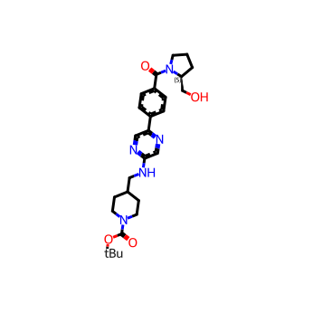 CC(C)(C)OC(=O)N1CCC(CNc2cnc(-c3ccc(C(=O)N4CCC[C@H]4CO)cc3)cn2)CC1